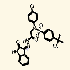 CCC(C)(C)c1ccc(S(=O)(=O)N(CC(=O)N/N=C2\C(=O)Nc3ccccc32)c2ccc(Cl)cc2)cc1